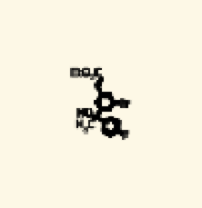 CCOC(=O)C=Cc1cc(Br)cc(C(C)(O)c2ccc(F)cc2)c1